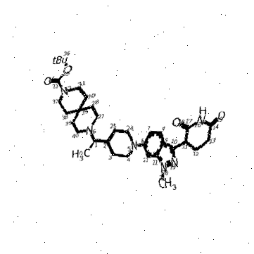 C[C@H](C1CCN(c2ccc3c(C4CCC(=O)NC4=O)nn(C)c3c2)CC1)N1CCC2(CCN(C(=O)OC(C)(C)C)CC2)CC1